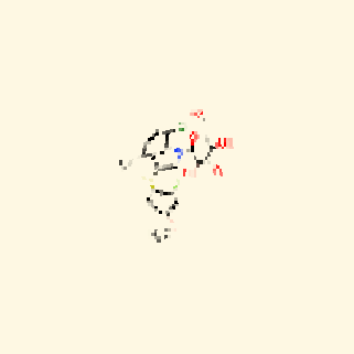 COc1ccc(Sc2cn([C@@H]3O[C@H](CO)[C@@H](O)[C@H](O)[C@H]3O)c3c(Cl)ccc(C)c23)c(F)c1